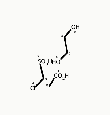 CC(=O)O.O=S(=O)(O)CCl.OCCO